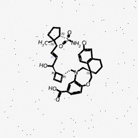 C[C@@]1(C/C=C/C(O)[C@@H]2CC[C@H]2CN2C[C@@]3(CCCc4cc(Cl)ccc43)COc3ccc(C(=O)O)cc32)CCC[C@@H]1S(N)(=O)=O